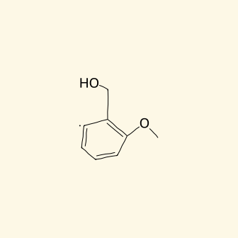 COc1ccc[c]c1CO